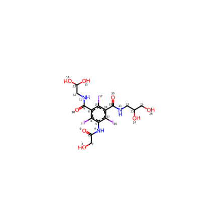 O=C(CO)Nc1c(I)c(C(=O)NCC(O)O)c(I)c(C(=O)NCC(O)CO)c1I